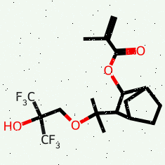 C=C(C)C(=O)OC1C2CCC(C2)C1C(C)(C)OCC(O)(C(F)(F)F)C(F)(F)F